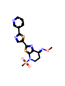 CO/N=C1\CCN(S(C)(=O)=O)c2sc(-c3cnc(-c4cccnc4)s3)nc21